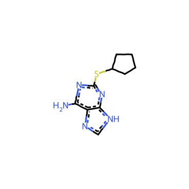 Nc1nc(SC2CCCC2)nc2[nH]cnc12